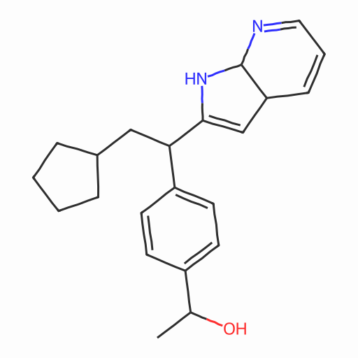 CC(O)c1ccc(C(CC2CCCC2)C2=CC3C=CC=NC3N2)cc1